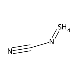 N#CN=[SH4]